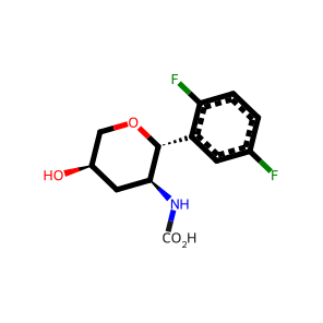 O=C(O)N[C@H]1C[C@@H](O)CO[C@@H]1c1cc(F)ccc1F